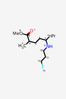 CCCC(CCC(C)C(=O)OC)NCCCF